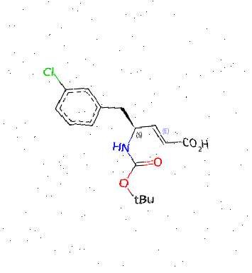 CC(C)(C)OC(=O)N[C@H](/C=C/C(=O)O)Cc1cccc(Cl)c1